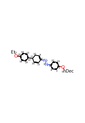 CCCCCCCCCCOc1ccc(/N=N/C2=CCC(c3ccc(OCC)cc3)C=C2)cc1